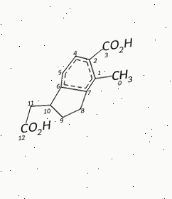 Cc1c(C(=O)O)ccc2c1CCC2CC(=O)O